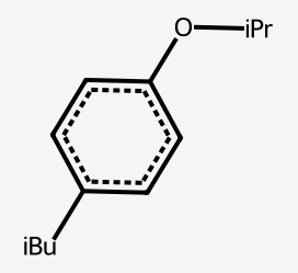 CCC(C)c1ccc(OC(C)C)cc1